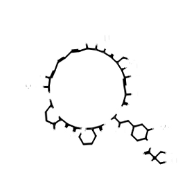 COC1CC2CCC(C)C(O)(O2)C(=O)C(=O)N2CCCCC2C(=O)OC(C(C)CC2CCC(OC(=O)C(C)(CO)CO)C(OC)C2)CC(=O)C(C)/C=C(\C)C(O)C(CO)C(=O)C(C)C(O)C(C)/C=C/C=C/C=C/1C